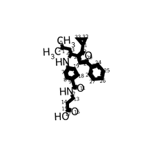 CC(C)CC(Nc1ccc(C(=O)NCCC(=O)O)cc1)c1cc(-c2ccccc2)oc1C1CC1